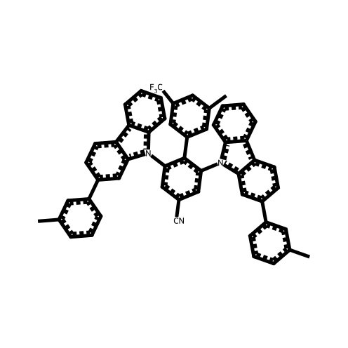 Cc1cccc(-c2ccc3c4ccccc4n(-c4cc(C#N)cc(-n5c6ccccc6c6ccc(-c7cccc(C)c7)cc65)c4-c4cc(C)cc(C(F)(F)F)c4)c3c2)c1